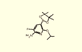 CC(C)Oc1nc(N)c(F)cc1B1OC(C)(C)C(C)(C)O1